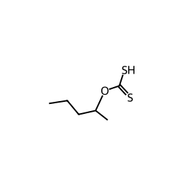 CCCC(C)OC(=S)S